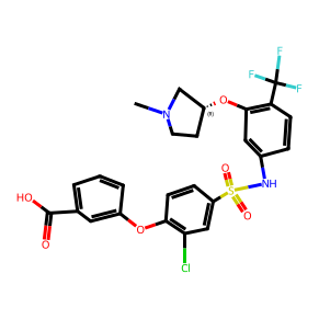 CN1CC[C@@H](Oc2cc(NS(=O)(=O)c3ccc(Oc4cccc(C(=O)O)c4)c(Cl)c3)ccc2C(F)(F)F)C1